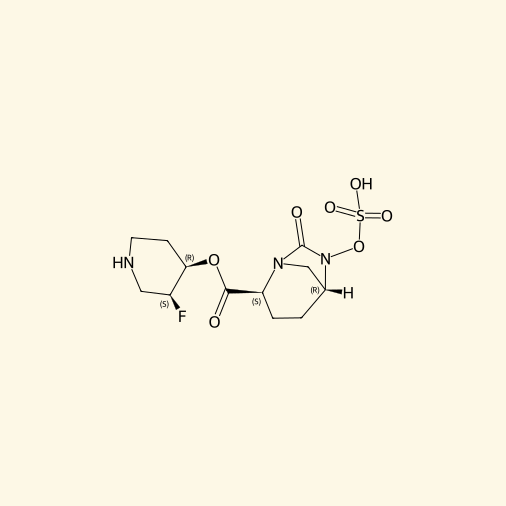 O=C(O[C@@H]1CCNC[C@@H]1F)[C@@H]1CC[C@@H]2CN1C(=O)N2OS(=O)(=O)O